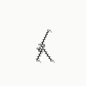 CCCCCCCCCCCC(=O)N[C@@H](CCC(N)=O)C(=O)N(CCCCCCCCCC)CCCCCCCCCC